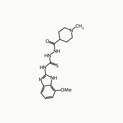 COc1cccc2nc(NC(=S)NNC(=O)C3CCN(C)CC3)[nH]c12